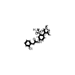 CCc1ccccc1CC(=O)Nc1ccc(-c2cn(C)nc2C)c(S(N)(=O)=O)c1